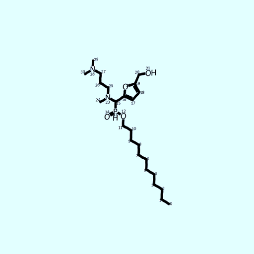 CCCCCCCCCCCCO[PH](=O)C(c1ccc(CO)o1)N(C)CCCN(C)C